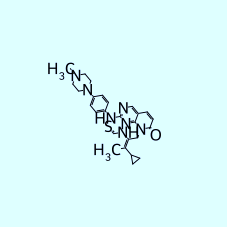 C/C(=C(/Cn1c(=O)ccc2cnc(Nc3ccc(N4CCN(C)CC4)cc3)nc21)NC=S)C1CC1